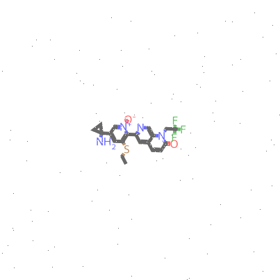 CCSc1cc(C2(N)CC2)c[n+]([O-])c1-c1cc2ccc(=O)n(CC(F)(F)F)c2cn1